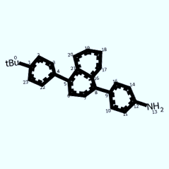 CC(C)(C)c1ccc(-c2ccc(-c3ccc(N)cc3)c3ccccc23)cc1